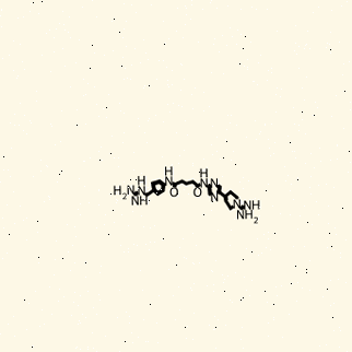 N=C(N)NCc1ccc(NC(=O)CCCC(=O)Nc2cnc(C3=CCN(C(=N)N)CC3)cn2)cc1